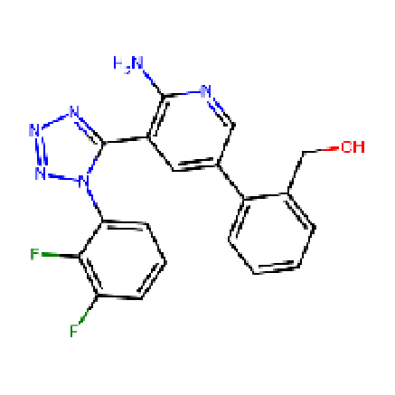 Nc1ncc(-c2ccccc2CO)cc1-c1nnnn1-c1cccc(F)c1F